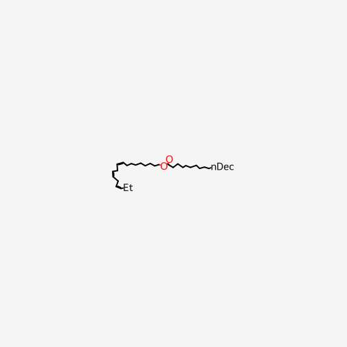 CC/C=C\C/C=C\C/C=C\CCCCCCCCOC(=O)CCCCCCCCCCCCCCCCCCC